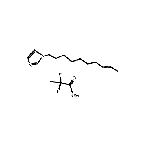 CCCCCCCCCCn1ccnc1.O=C(O)C(F)(F)F